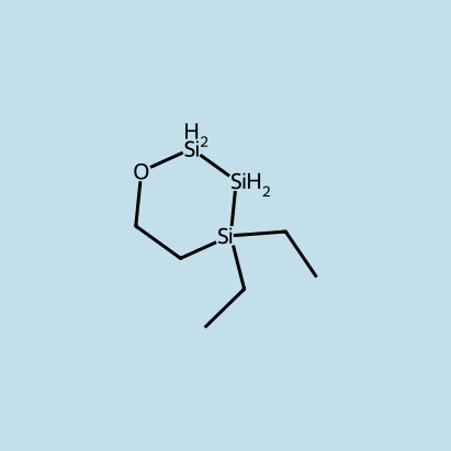 CC[Si]1(CC)CCO[SiH2][SiH2]1